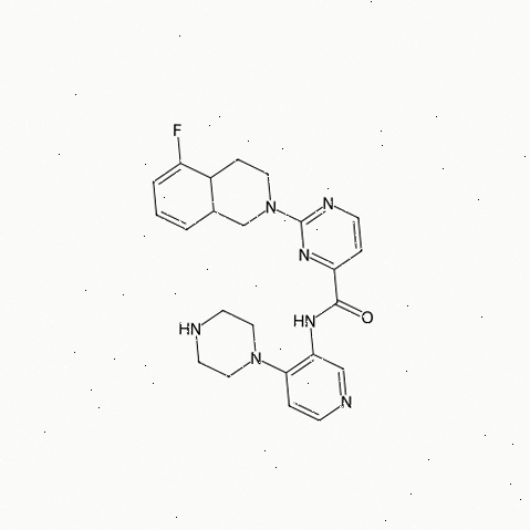 O=C(Nc1cnccc1N1CCNCC1)c1ccnc(N2CCC3C(F)=CC=CC3C2)n1